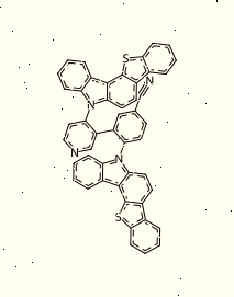 N#Cc1ccc(-n2c3ccccc3c3c4sc5ccccc5c4ccc32)c(-c2cnccc2-n2c3ccccc3c3c4sc5ccccc5c4ccc32)c1